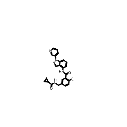 O=C(Nc1cccc2c1cnn2-c1cccnc1)c1cc(CNC(=O)C2CC2)ccc1Cl